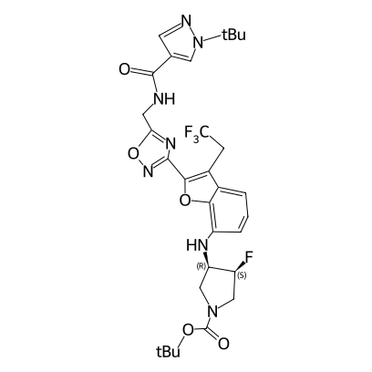 CC(C)(C)OC(=O)N1C[C@H](F)[C@H](Nc2cccc3c(CC(F)(F)F)c(-c4noc(CNC(=O)c5cnn(C(C)(C)C)c5)n4)oc23)C1